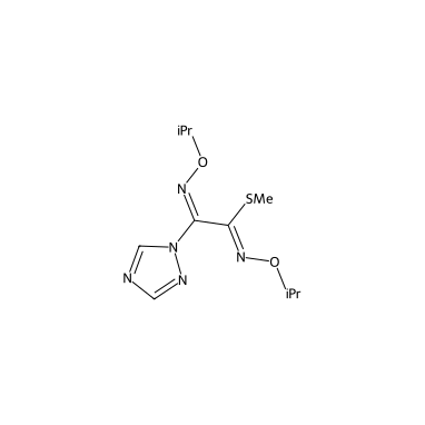 CSC(=NOC(C)C)C(=NOC(C)C)n1cncn1